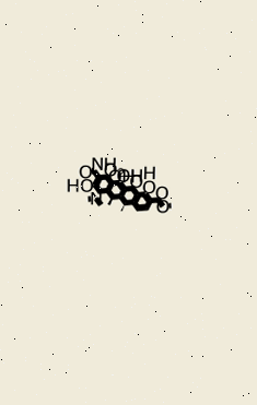 COC(=O)c1ccc2c(c1O)C(=O)C1=C(O)C3(O)C(=O)C(C(N)=O)=C(O)[C@H](N(C)C)C3[C@H](C)C1[C@H]2C